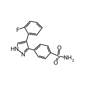 NS(=O)(=O)c1ccc(-c2n[nH]cc2-c2ccccc2F)cc1